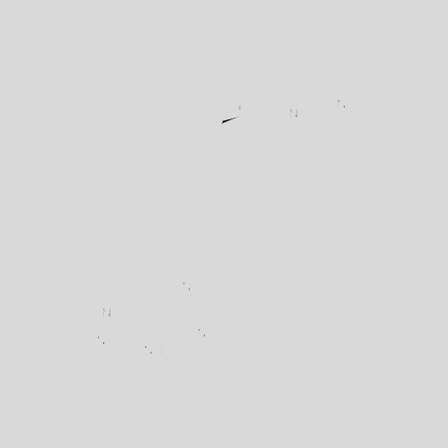 C=NN(C)c1cc(-c2ccc(OCC[C@H]3CCN(c4ccccn4)C3)c(C(F)(F)F)c2)nc(N)c1N